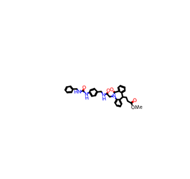 COC(=O)CCC1c2ccccc2C(=O)N(CC(=O)NCc2ccc(NC(=O)NCc3ccccc3)cc2)c2ccccc21